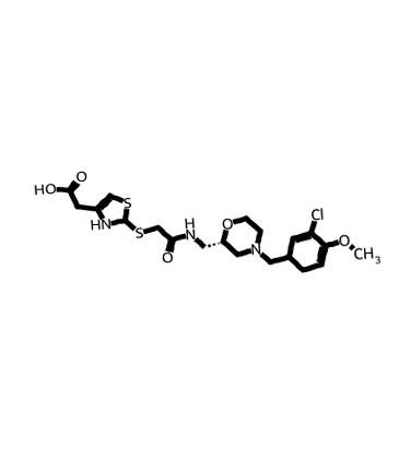 COC1=CCC(CN2CCO[C@@H](CNC(=O)CSC3NC(CC(=O)O)=CS3)C2)C=C1Cl